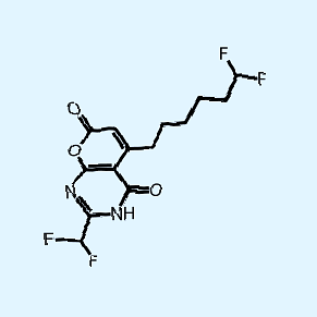 O=c1cc(CCCCCC(F)F)c2c(=O)[nH]c(C(F)F)nc2o1